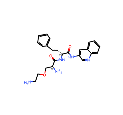 NCCOC[C@H](N)C(=O)N[C@H](CCc1ccccc1)C(=O)Nc1cnc2ccccc2c1